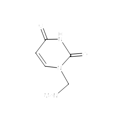 CNCn1ccc(=O)[nH]c1=O